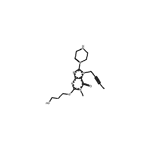 CC#CCn1c(N2CCNCC2)nc2nc(SCCCO)n(C)c(=O)c21